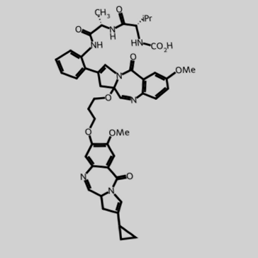 COc1ccc2c(c1)C(=O)N1C=C(c3ccccc3NC(=O)[C@H](C)NC(=O)[C@@H](NC(=O)O)C(C)C)CC1(OCCCOc1cc3c(cc1OC)C(=O)N1C=C(C4CC4)CC1C=N3)C=N2